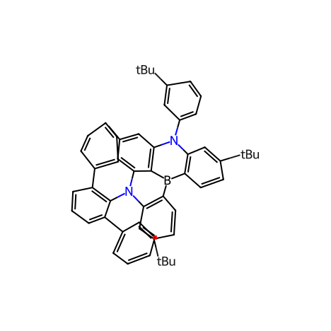 Cc1cc2c3c(c1)N(c1c(-c4ccccc4)cccc1-c1ccccc1)c1cc(C(C)(C)C)ccc1B3c1ccc(C(C)(C)C)cc1N2c1cccc(C(C)(C)C)c1